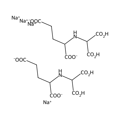 O=C([O-])CCC(NC(C(=O)O)C(=O)O)C(=O)[O-].O=C([O-])CCC(NC(C(=O)O)C(=O)O)C(=O)[O-].[Na+].[Na+].[Na+].[Na+]